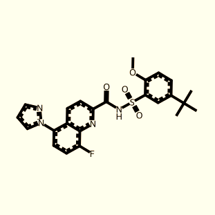 COc1ccc(C(C)(C)C)cc1S(=O)(=O)NC(=O)c1ccc2c(-n3cccn3)ccc(F)c2n1